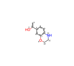 C=C(O)c1ccc2c(c1)OCCN2